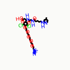 Cc1ccnc(NCCCCC(=O)NCC(=O)NC(CC(=O)O)c2cc(Cl)c(OCCOCCOCCOCCOCCN=[N+]=[N-])c(Cl)c2)c1